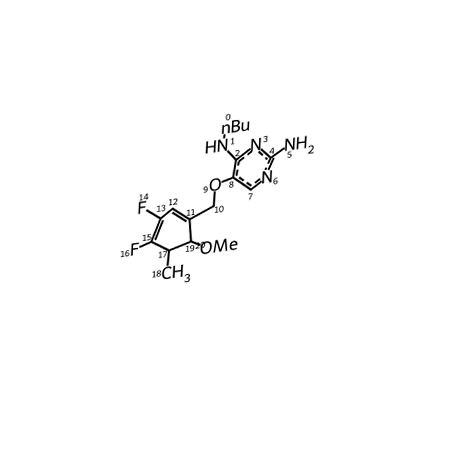 CCCCNc1nc(N)ncc1OCC1=CC(F)=C(F)C(C)C1OC